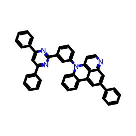 c1ccc(-c2cc3c4c(ccnc4c2)N(c2cccc(-c4nc(-c5ccccc5)cc(-c5ccccc5)n4)c2)c2ccccc2-3)cc1